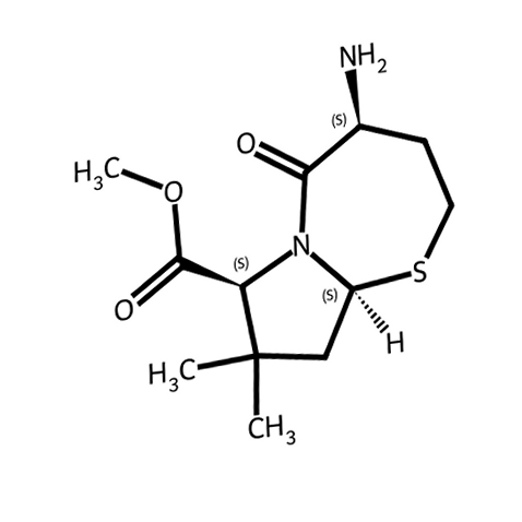 COC(=O)[C@H]1N2C(=O)[C@@H](N)CCS[C@H]2CC1(C)C